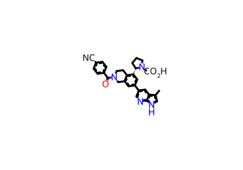 Cc1c[nH]c2ncc(-c3cc4c(c([C@@H]5CCCN5C(=O)O)c3)CCN(C(=O)c3ccc(C#N)cc3)C4)cc12